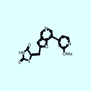 COc1cc(-c2cncc3cc(/C=C4/SC(=S)NC4=O)oc23)ccn1